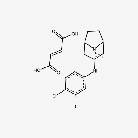 CN1C2CCC1CC(Nc1ccc(Cl)c(Cl)c1)C2.O=C(O)/C=C/C(=O)O